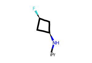 CC(C)N[C@H]1C[C@@H](F)C1